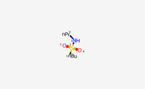 [CH2]CCNS(=O)(=O)CCCC